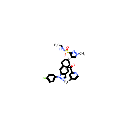 Cn1cc([C@H]2CCC3=Cc4c(cnn4-c4ccc(F)cc4)C[C@@]3(C(=O)c3cc(C(F)(F)F)ccn3)C2)c(S(=O)(=O)NCC(F)(F)F)n1